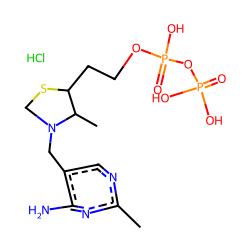 Cc1ncc(CN2CSC(CCOP(=O)(O)OP(=O)(O)O)C2C)c(N)n1.Cl